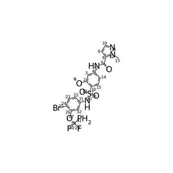 COc1cc(NC(=O)c2ccnn2C)ccc1S(=O)(=O)Nc1ccc(Br)c(OC(F)(F)P)c1